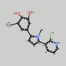 Cn1c(-c2cc(O)c(O)c([N+](=O)[O-])c2)ccc1-c1cccnc1F